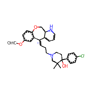 CC1(C)CN(CC/C=C2\C3=CC=CNC3COc3ccc(OC=O)cc32)CCC1(O)c1ccc(Cl)cc1